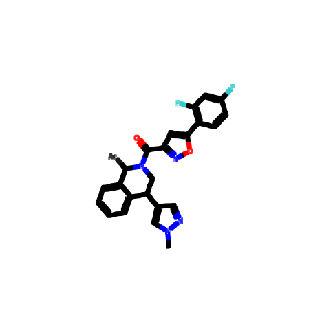 CC(=O)C1c2ccccc2C(c2cnn(C)c2)CN1C(=O)c1cc(-c2ccc(F)cc2F)on1